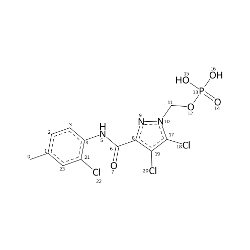 Cc1ccc(NC(=O)c2nn(COP(=O)(O)O)c(Cl)c2Cl)c(Cl)c1